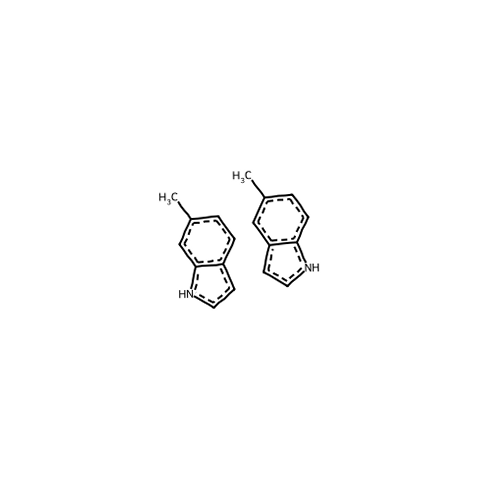 Cc1ccc2[nH]ccc2c1.Cc1ccc2cc[nH]c2c1